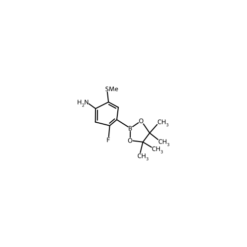 CSc1cc(B2OC(C)(C)C(C)(C)O2)c(F)cc1N